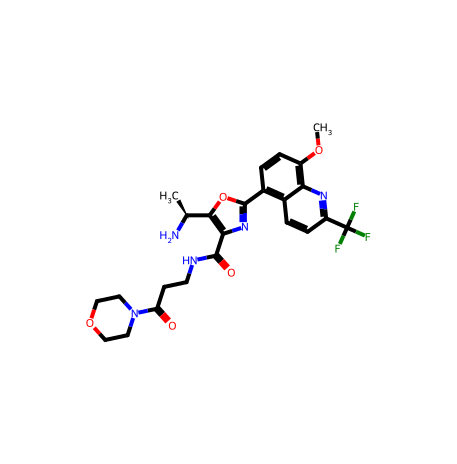 COc1ccc(-c2nc(C(=O)NCCC(=O)N3CCOCC3)c([C@H](C)N)o2)c2ccc(C(F)(F)F)nc12